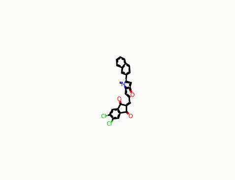 Cn1c(-c2ccc3ccccc3c2)cc2oc(C=C3C(=O)c4cc(Cl)c(Cl)cc4C3=O)cc21